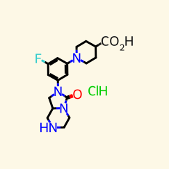 Cl.O=C(O)C1CCN(c2cc(F)cc(N3CC4CNCCN4C3=O)c2)CC1